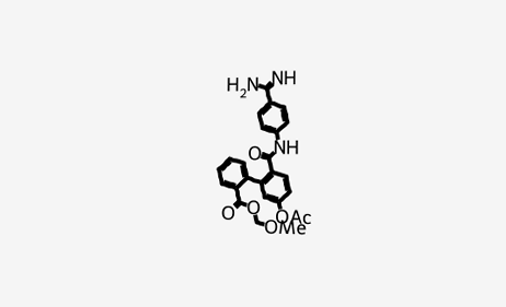 COCOC(=O)c1ccccc1-c1cc(OC(C)=O)ccc1C(=O)Nc1ccc(C(=N)N)cc1